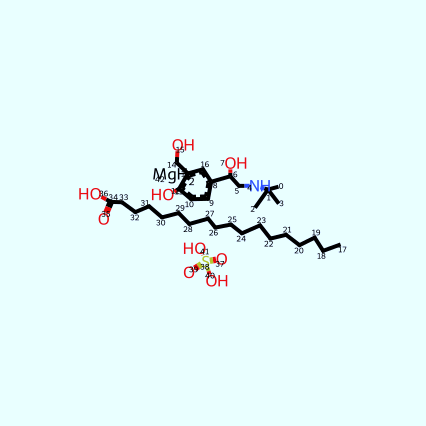 CC(C)(C)NCC(O)c1ccc(O)c(CO)c1.CCCCCCCCCCCCCCCCCC(=O)O.O=S(=O)(O)O.[MgH2]